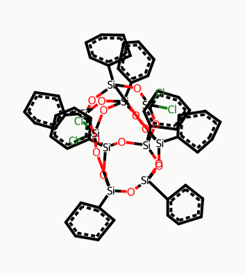 Cl[Si]1(Cl)O[Si]2(c3ccccc3)O[Si]3(c4ccccc4)O[Si]4(c5ccccc5)O[Si](Cl)(Cl)O[Si]5(c6ccccc6)O[Si](c6ccccc6)(O[Si](c6ccccc6)(O1)O[Si](c1ccccc1)(O5)O[Si](c1ccccc1)(O2)O4)O3